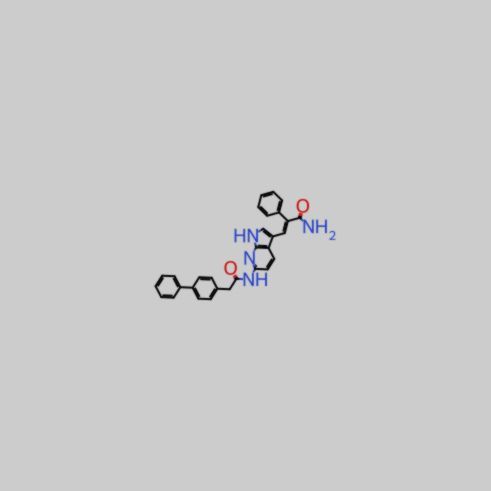 NC(=O)/C(=C/c1c[nH]c2nc(NC(=O)Cc3ccc(-c4ccccc4)cc3)ccc12)c1ccccc1